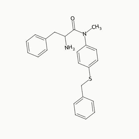 CN(C(=O)C(N)Cc1ccccc1)c1ccc(SCc2ccccc2)cc1